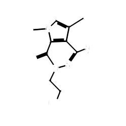 Cc1cn(C)c2c(=O)n(CCO)nc(N)c12